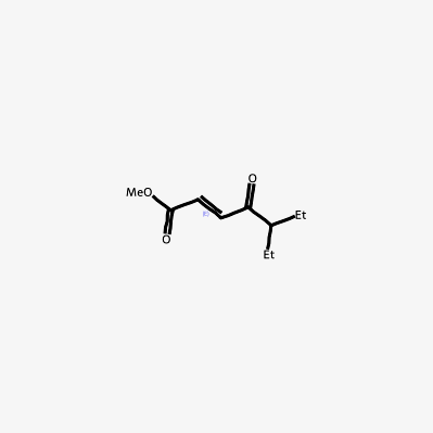 CCC(CC)C(=O)/C=C/C(=O)OC